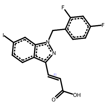 O=C(O)/C=C/c1nn(Cc2ccc(F)cc2F)c2cc(I)ccc12